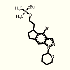 CC(C)(C)[Si](C)(C)OCCC1CCc2cc3c(cnn3C3CCCCO3)c(Br)c21